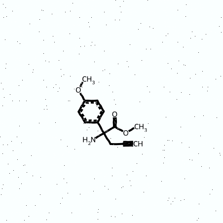 C#CCC(N)(C(=O)OC)c1ccc(OC)cc1